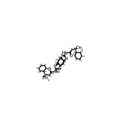 CN(CC(=O)Nc1nc2cc3nc(NC(=O)CN(C)C4CCCCC4)sc3cc2s1)C1CCCCC1